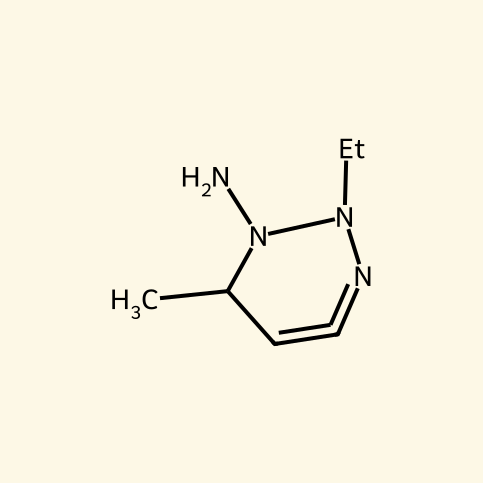 CCN1N=C=CC(C)N1N